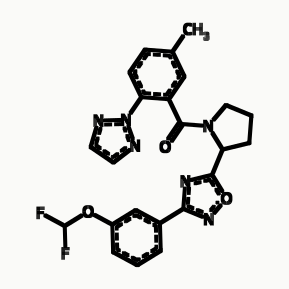 Cc1ccc(-n2nccn2)c(C(=O)N2CCCC2c2nc(-c3cccc(OC(F)F)c3)no2)c1